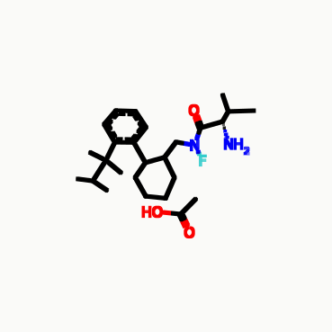 CC(=O)O.CC(C)[C@H](N)C(=O)N(F)CC1CCCCC1c1ccccc1C(C)(C)C(C)C